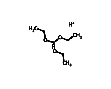 CCO[SiH](OCC)OCC.[H+]